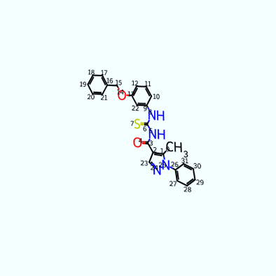 Cc1c(C(=O)NC(=S)Nc2cccc(OCc3ccccc3)c2)cnn1-c1ccccc1